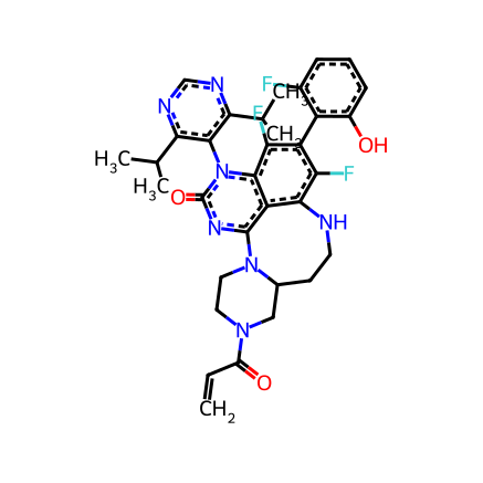 C=CC(=O)N1CCN2c3nc(=O)n(-c4c(C(C)C)ncnc4C(C)C)c4c(F)c(-c5c(O)cccc5F)c(F)c(c34)NCCC2C1